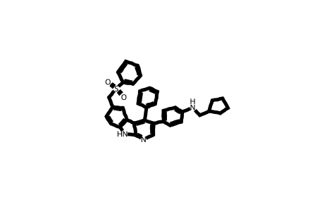 O=S(=O)(Cc1ccc2[nH]c3ncc(-c4ccc(NCC5CCCC5)cc4)c(-c4ccccc4)c3c2c1)c1ccccc1